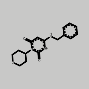 O=c1cc(NCc2ccccc2)[nH]c(=O)n1C1CCOCC1